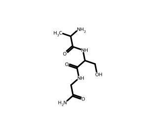 CC(N)C(=O)NC(CO)C(=O)NCC(N)=O